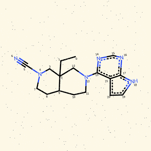 CCC12CN(C#N)CCC1CCN(c1ncnc3[nH]ccc13)C2